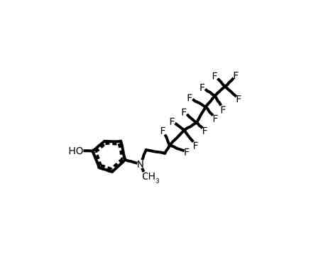 CN(CCC(F)(F)C(F)(F)C(F)(F)C(F)(F)C(F)(F)C(F)(F)F)c1ccc(O)cc1